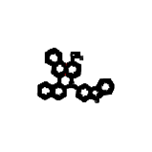 Cc1ccc(N(c2ccc3sc4ccccc4c3c2)c2ccc3ccccc3c2-c2ccc3ccccc3c2)cc1